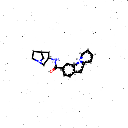 O=C(N[C@@H]1CC2CCN(C2)C1)c1ccc2cc3ccccn3c2c1